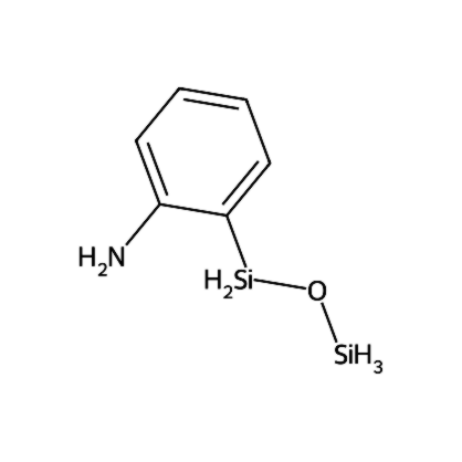 Nc1ccccc1[SiH2]O[SiH3]